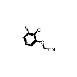 N#CCOc1cc[c]c(Cl)c1Cl